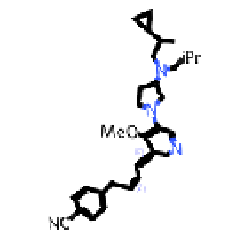 COC1=C(N2CCC(N(CC(C)C)CC(C)C3CC3)C2)C=NC/C1=C\C=C/Cc1ccc(C#N)cc1